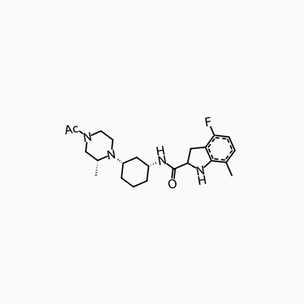 CC(=O)N1CCN([C@H]2CCC[C@@H](NC(=O)C3Cc4c(F)ccc(C)c4N3)C2)[C@H](C)C1